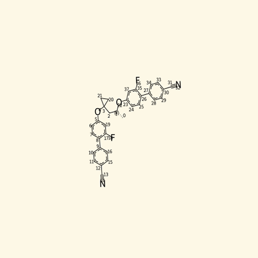 C[C@H](CC1(Oc2ccc(-c3ccc(C#N)cc3)c(F)c2)CC1)Oc1ccc(-c2ccc(C#N)cc2)c(F)c1